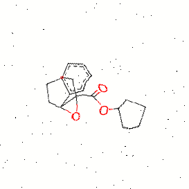 O=C(OC1CCCC1)C12CCCCC1(c1ccccc1)O2